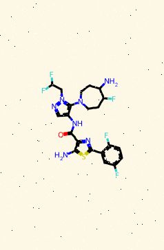 Nc1sc(-c2cc(F)ccc2F)nc1C(=O)Nc1cnn(CC(F)F)c1N1CCC(N)C(F)CC1